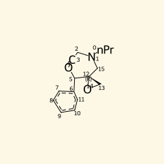 CCCN1CCOC(c2ccccc2)[C@]2(CO2)C1